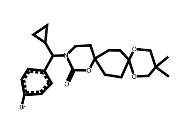 CC1(C)COC2(CCC3(CCN(C(c4ccc(Br)cc4)C4CC4)C(=O)O3)CC2)OC1